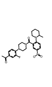 CC(=O)c1ccc(N2CCN(C(=O)c3cc([N+](=O)[O-])ccc3N3CCCCC3C)CC2)c(F)c1